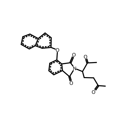 CC(=O)CCC(C(C)=O)N1C(=O)c2cccc(Oc3ccc4ccccc4c3)c2C1=O